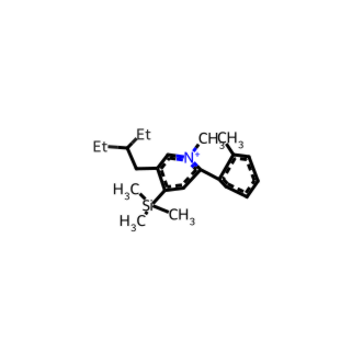 CCC(CC)Cc1c[n+](C)c(-c2ccccc2C)cc1[Si](C)(C)C